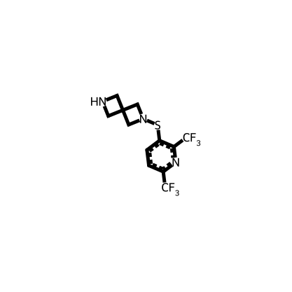 FC(F)(F)c1ccc(SN2CC3(CNC3)C2)c(C(F)(F)F)n1